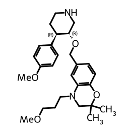 COCCCN1CC(C)(C)Oc2ccc(CO[C@H]3CNCC[C@@H]3c3ccc(OC)cc3)cc21